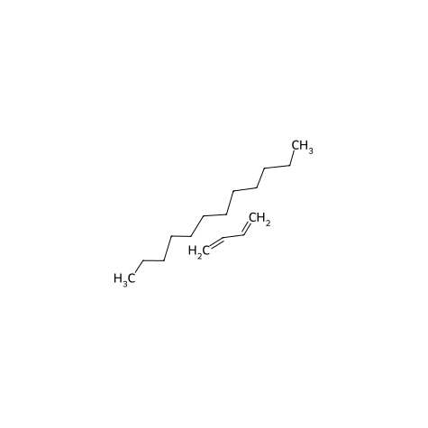 C=CC=C.CCCCCCCCCCCC